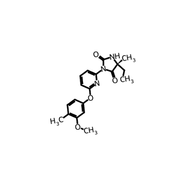 CC[C@@]1(C)NC(=O)N(c2cccc(Oc3ccc(C)c(OC)c3)n2)C1=O